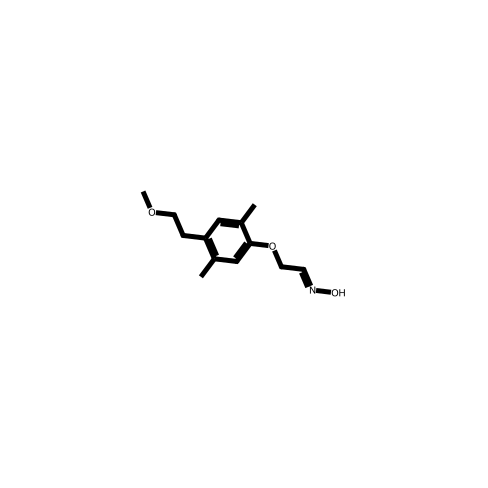 COCCc1cc(C)c(OCC=NO)cc1C